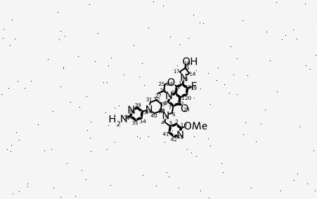 COc1cc(CN(Cc2cn3c4c(c(N5CC(O)C5)c(F)cc4c2=O)OCC3C)[C@H]2CCCN(c3ccc(N)nc3)C2)ccn1